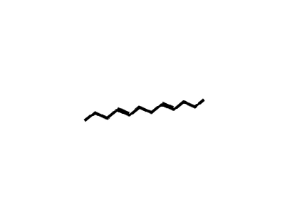 CCCC=CCC/C=C/CCC